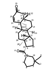 CC1(C)CCCN(C(=O)[C@H]2CC[C@H]3[C@@H]4CC[C@H]5NC(=O)C=C[C@]5(C)[C@H]4CC[C@]23C)C1